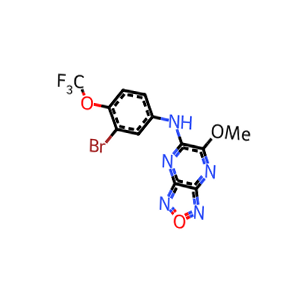 COc1nc2nonc2nc1Nc1ccc(OC(F)(F)F)c(Br)c1